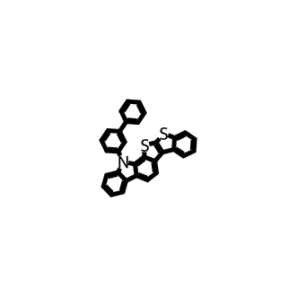 c1ccc(-c2cccc(-n3c4ccccc4c4ccc5c(sc6sc7ccccc7c65)c43)c2)cc1